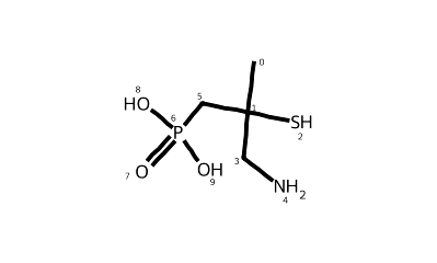 CC(S)(CN)CP(=O)(O)O